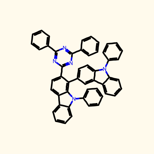 c1ccc(-c2nc(-c3ccccc3)nc(-c3ccc4c5ccccc5n(-c5ccccc5)c4c3-c3ccc4c(c3)c3ccccc3n4-c3ccccc3)n2)cc1